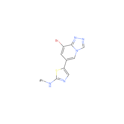 CC(C)Nc1ncc(-c2cc(Br)c3nncn3c2)s1